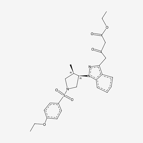 CCOC(=O)CC(=O)Cc1nn([C@H]2CN(S(=O)(=O)c3ccc(OCC)cc3)C[C@H]2C)c2ccccc12